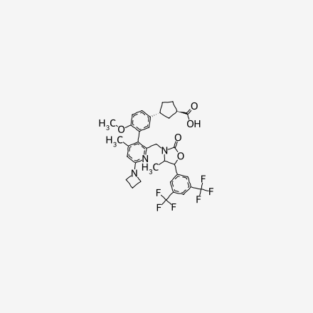 COc1ccc([C@@H]2CC[C@@H](C(=O)O)C2)cc1-c1c(C)cc(N2CCC2)nc1CN1C(=O)OC(c2cc(C(F)(F)F)cc(C(F)(F)F)c2)C1C